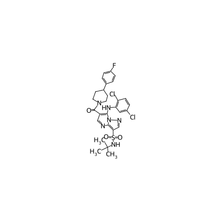 CC(C)(C)NS(=O)(=O)c1cnn2c(Nc3cc(Cl)ccc3Cl)c(C(=O)N3CCC(c4ccc(F)cc4)CC3)cnc12